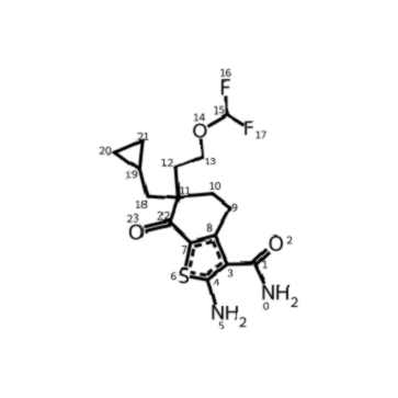 NC(=O)c1c(N)sc2c1CCC(CCOC(F)F)(CC1CC1)C2=O